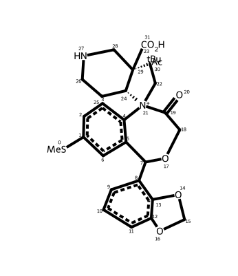 CSc1ccc2c(c1)C(c1cccc3c1OCO3)OCC(=O)[N+]2(CC(C)(C)C)[C@@H]1CCNC[C@@]1(C(C)=O)C(=O)O